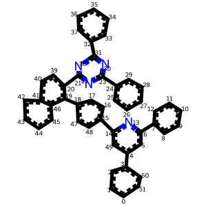 c1ccc(-c2cc(-c3ccccc3)nc(-c3ccc(-c4c(-c5nc(-c6ccccc6)nc(-c6ccccc6)n5)ccc5ccccc45)cc3)c2)cc1